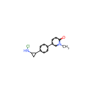 Cn1cc(-c2ccc(C3CC3NCl)cc2)ccc1=O